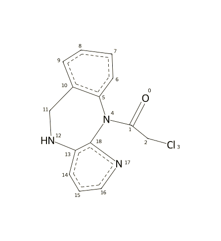 O=C(CCl)N1c2ccccc2CNc2cccnc21